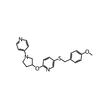 COc1ccc(CSc2ccc(OC3CCN(c4ccncc4)C3)nc2)cc1